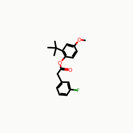 COc1ccc(OC(=O)Cc2cccc(F)c2)c(C(C)(C)C)c1